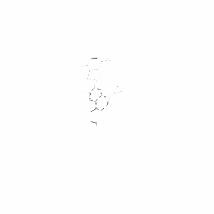 CC1C=CC(N)C2CN(c3c(F)cc4c(=O)c(OC(=O)O)cn(C5CC5)c4c3F)CC12